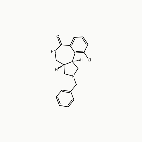 O=C1NC[C@H]2CN(Cc3ccccc3)C[C@@H]2c2c(Cl)cccc21